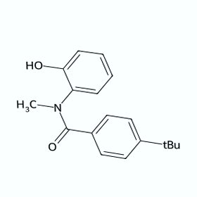 CN(C(=O)c1ccc(C(C)(C)C)cc1)c1ccccc1O